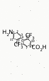 Nc1ccc(-c2ccc(C(=O)O)cc2C(F)(F)F)c(C(F)(F)F)c1